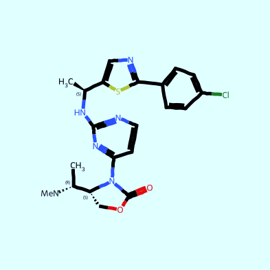 CN[C@H](C)[C@H]1COC(=O)N1c1ccnc(N[C@@H](C)c2cnc(-c3ccc(Cl)cc3)s2)n1